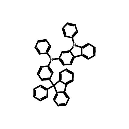 c1ccc(N(c2cccc(C3(c4ccccc4)c4ccccc4-c4ccccc43)c2)c2ccc3c4ccccc4n(-c4ccccc4)c3c2)cc1